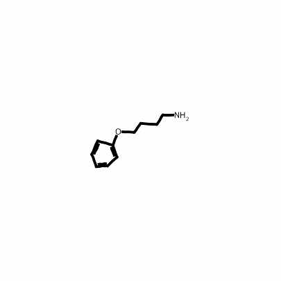 NCCCCOc1c[c]ccc1